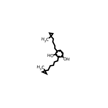 CC1(CCCCCc2c(O)ccc(CCCCC3(C)CC3)c2O)CC1